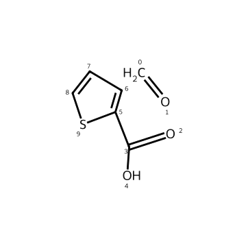 C=O.O=C(O)c1cccs1